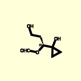 O=CO[C@H](CCO)C1(O)CC1